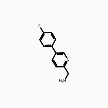 NCc1ccc(-c2ccc(F)cc2)cn1